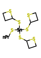 CCC[S][Sn]([S]C1CCS1)([S]C1CCS1)[S]C1CCS1